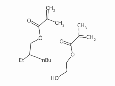 C=C(C)C(=O)OCC(CC)CCCC.C=C(C)C(=O)OCCO